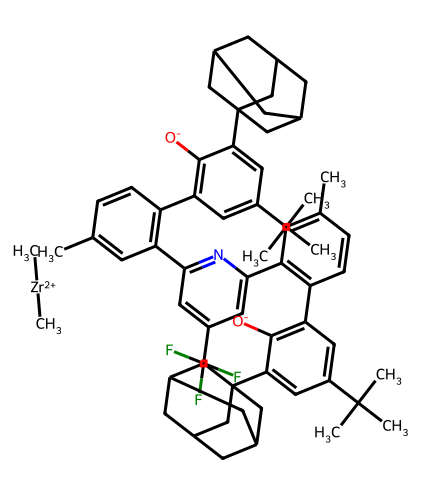 Cc1ccc(-c2cc(C(C)(C)C)cc(C34CC5CC(CC(C5)C3)C4)c2[O-])c(-c2cc(C(F)(F)F)cc(-c3cc(C)ccc3-c3cc(C(C)(C)C)cc(C45CC6CC(CC(C6)C4)C5)c3[O-])n2)c1.[CH3][Zr+2][CH3]